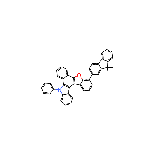 CC1(C)c2ccccc2-c2ccc(-c3cccc4c3oc3c5ccccc5c5c(c6ccccc6n5-c5ccccc5)c43)cc21